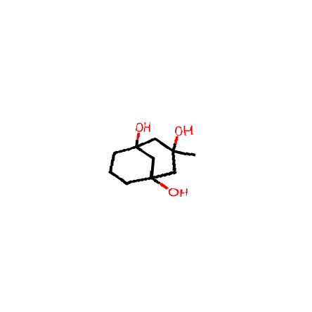 CC1(O)CC2(O)CCCC(O)(C1)C2